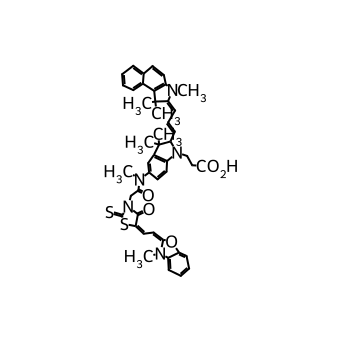 CN(C(=O)CN1C(=O)/C(=C\C=C2\Oc3ccccc3N2C)SC1=S)c1ccc2c(c1)C(C)(C)C(/C=C/C=C1/N(C)c3ccc4ccccc4c3C1(C)C)N2CCC(=O)O